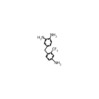 Nc1ccc(Cc2ccc(N)c(N)c2)c(C(F)(F)F)c1